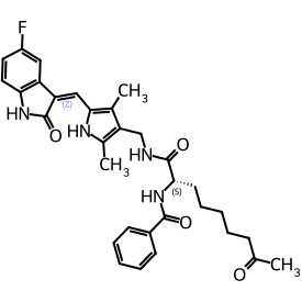 CC(=O)CCCCC[C@H](NC(=O)c1ccccc1)C(=O)NCc1c(C)[nH]c(/C=C2\C(=O)Nc3ccc(F)cc32)c1C